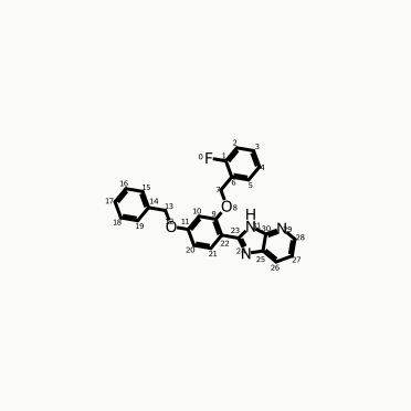 Fc1ccccc1COc1cc(OCc2ccccc2)ccc1-c1nc2cccnc2[nH]1